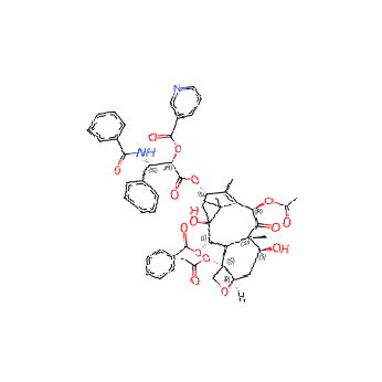 CC(=O)O[C@H]1C(=O)[C@@]2(C)C([C@H](OC(=O)c3ccccc3)C3(O)C[C@H](OC(=O)[C@H](OC(=O)c4cccnc4)[C@@H](NC(=O)c4ccccc4)c4ccccc4)C(C)=C1C3(C)C)[C@]1(OC(C)=O)CO[C@@H]1C[C@@H]2O